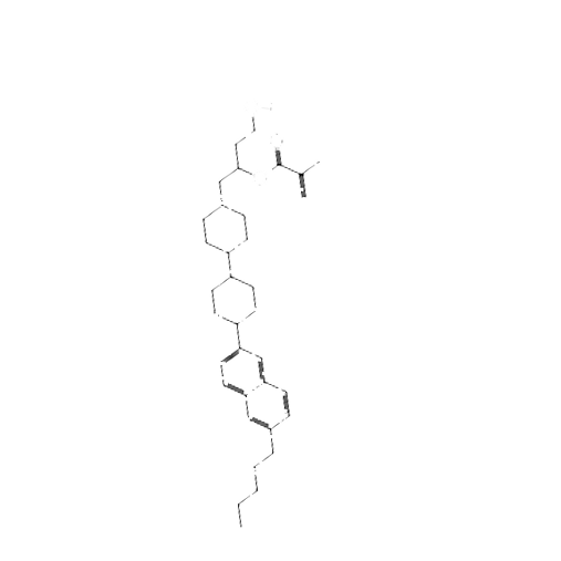 C=C(C)C(=O)OC(CCO)CC1CCC(C2CCC(c3ccc4cc(CCCCC)ccc4c3)CC2)CC1